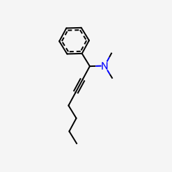 CCCCC#CC(c1ccccc1)N(C)C